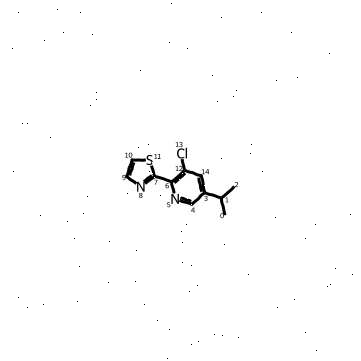 CC(C)c1cnc(-c2nccs2)c(Cl)c1